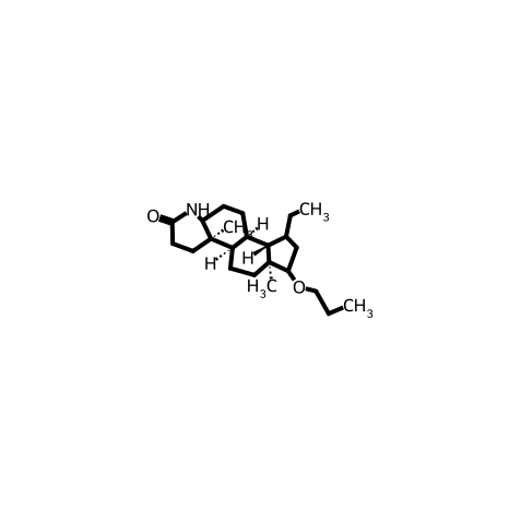 CCCOC1CC(CC)[C@H]2[C@@H]3CCC4NC(=O)CC[C@]4(C)[C@@H]3CC[C@]12C